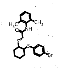 Cc1cccc(C)c1NC(=O)CSC1CCCCC1Sc1ccc(Br)cc1